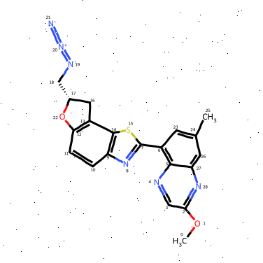 COc1cnc2c(-c3nc4ccc5c(c4s3)C[C@@H](CN=[N+]=[N-])O5)cc(C)cc2n1